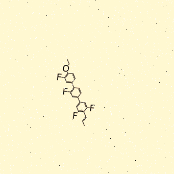 C/C=C/c1c(F)cc(-c2ccc(-c3ccc(OCC)c(F)c3)c(F)c2)cc1F